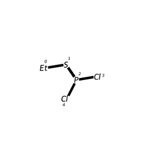 CCSP(Cl)Cl